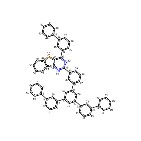 c1ccc(-c2cccc(-c3cc(-c4cccc(-c5ccccc5)c4)cc(-c4cccc(-c5nc(-c6cccc(-c7ccccc7)c6)c6sc7ccccc7c6n5)c4)c3)c2)cc1